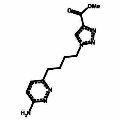 COC(=O)c1cn(CCCCc2ccc(N)nn2)nn1